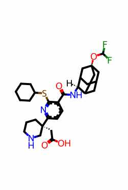 O=C(O)C[C@@]1(c2ccc(C(=O)N[C@H]3C4CC5CC3C[C@@](OC(F)F)(C5)C4)c(SC3CCCCC3)n2)CCCNC1